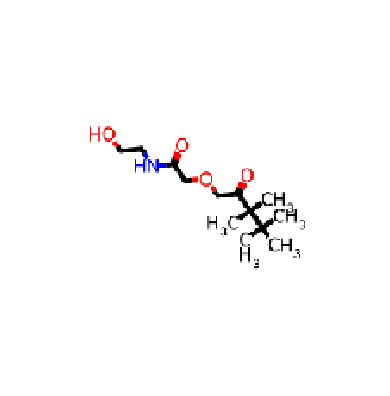 CC(C)(C)C(C)(C)C(=O)COCC(=O)NCCO